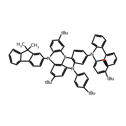 CC(C)(C)c1ccc(N(c2ccc3c(c2)N(c2ccc(C(C)(C)C)cc2)c2cc(C(C)(C)C)cc4c2B3c2cc(C(C)(C)C)ccc2N4c2ccc3c(c2)C(C)(C)c2ccccc2-3)c2ccccc2-c2ccccc2)cc1